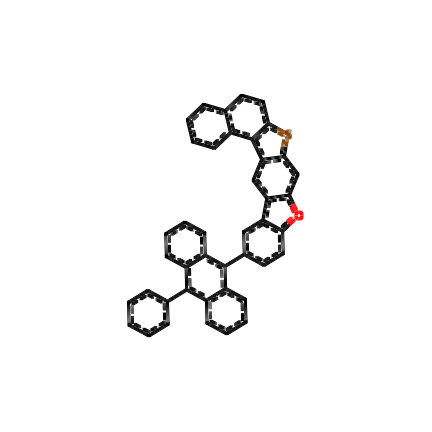 c1ccc(-c2c3ccccc3c(-c3ccc4oc5cc6sc7ccc8ccccc8c7c6cc5c4c3)c3ccccc23)cc1